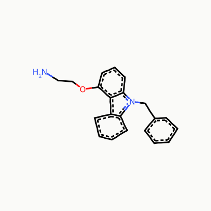 NCCOc1cccc2c1c1ccccc1n2Cc1ccccc1